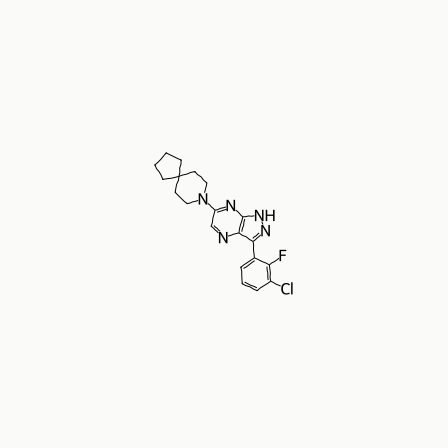 Fc1c(Cl)cccc1-c1n[nH]c2nc(N3CCC4(CCCC4)CC3)cnc12